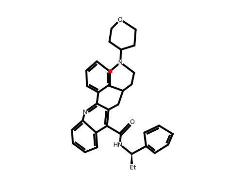 CC[C@@H](NC(=O)c1c(CC2CCN(C3CCOCC3)CC2)c(-c2ccccc2)nc2ccccc12)c1ccccc1